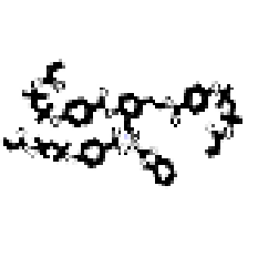 C=CC(=O)OC(C)(C)CC(C)(C)Oc1ccc(C(=O)OCCc2ccc(OC(=O)c3ccc(OC(C)(C)CC(C)(C)OC(=O)C=C)cc3)c(/C=N/N(OC(=O)c3ccc(OC(C)(C)CC(C)(C)OC(=O)C=C)cc3)c3nc4ccccc4s3)c2)cc1